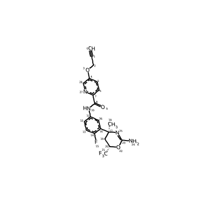 C#CCOc1ccc(C(=O)Nc2ccc(F)c([C@]3(C)C[C@@H](C(F)(F)F)OC(N)=N3)c2)nc1